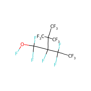 FOC(F)(F)C(F)(C(F)(F)C(F)(F)F)C(C(F)(F)F)(C(F)(F)F)C(F)(F)F